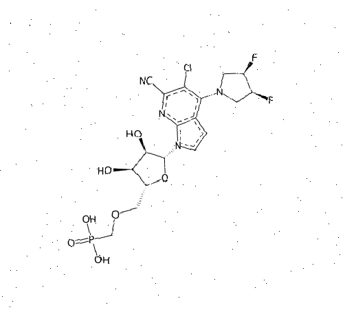 N#Cc1nc2c(ccn2[C@@H]2O[C@H](COCP(=O)(O)O)[C@@H](O)[C@H]2O)c(N2C[C@@H](F)[C@@H](F)C2)c1Cl